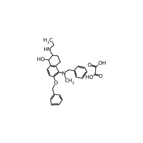 CCNC1CCc2c(ccc(OCc3ccccc3)c2N(C)Cc2ccccc2)C1O.O=C(O)C(=O)O